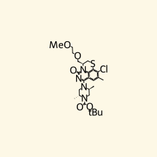 COCCOC[C@H]1CSc2c(Cl)c(C)cc3c(N4C[C@@H](C)N(C(=O)OC(C)(C)C)C[C@@H]4C)nc(=O)n1c23